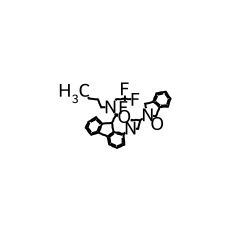 CCCCN(CC(F)(F)F)C(=O)C1c2ccccc2-c2cccc(N3CC(N4Cc5ccccc5C4=O)C3)c21